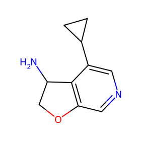 NC1COc2cncc(C3CC3)c21